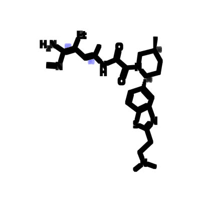 C=N/C(N)=C(\C=C(/C)NC(=O)C(=O)N1C[C@@H](C)CC[C@@H]1c1ccc2sc(CCN(C)C)nc2c1)CC